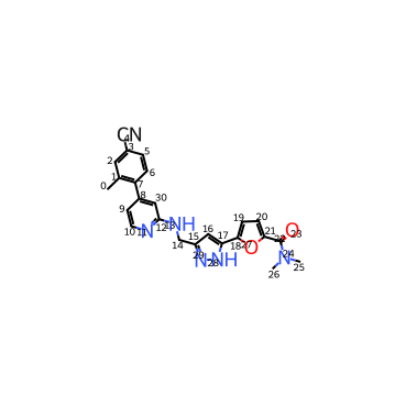 Cc1cc(C#N)ccc1-c1ccnc(NCc2cc(-c3ccc(C(=O)N(C)C)o3)[nH]n2)c1